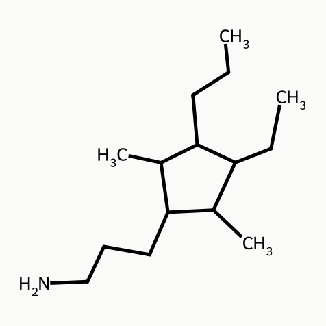 CCCC1C(C)C(CCCN)C(C)C1CC